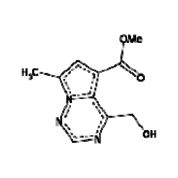 COC(=O)c1cc(C)n2ncnc(CO)c12